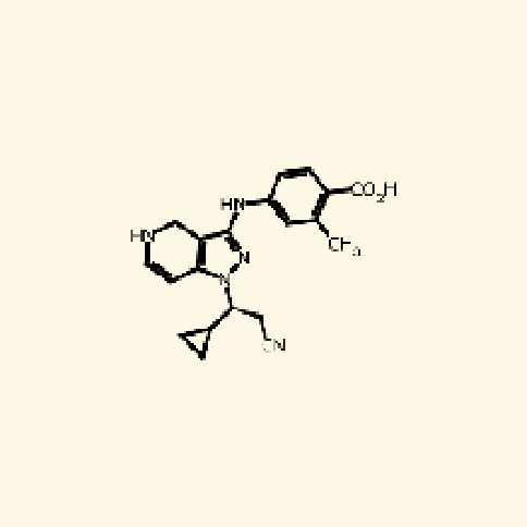 Cc1cc(Nc2nn([C@@H](CC#N)C3CC3)c3c2CNC=C3)ccc1C(=O)O